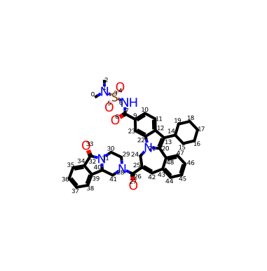 CN(C)S(=O)(=O)NC(=O)c1ccc2c(C3CCCCC3)c3n(c2c1)CC(C(=O)N1CCN2C(=O)c4ccccc4C2C1)=Cc1ccccc1-3